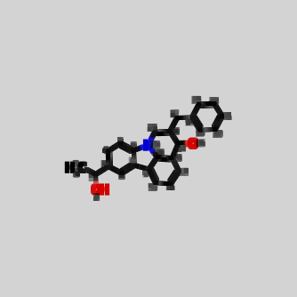 CC(O)c1ccc2c(c1)c1cccc3c(=O)c(Cc4ccccc4)cn2c31